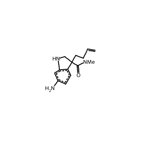 C=CCCC1(C(=O)NC)CNc2cc(N)ccc21